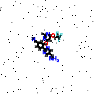 Cc1nc(OCC(F)(F)F)cc(Oc2cc(C#N)ccc2-c2ncc(CN)cn2)n1